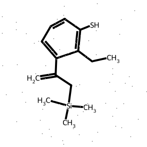 C=C(C[Si](C)(C)C)c1cccc(S)c1CC